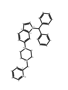 c1ccc(C(c2ccccc2)n2ccc3ccc(N4CCN(Cc5ccccn5)CC4)cc32)cc1